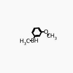 CBc1cccc(OC)c1